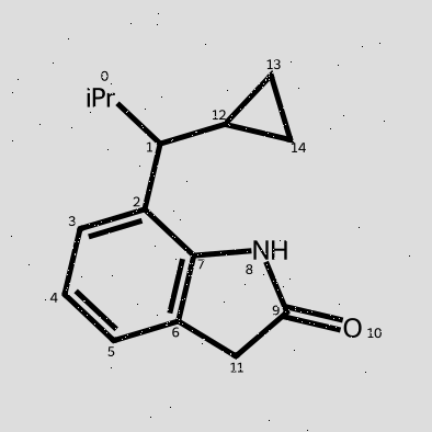 CC(C)C(c1cccc2c1NC(=O)C2)C1CC1